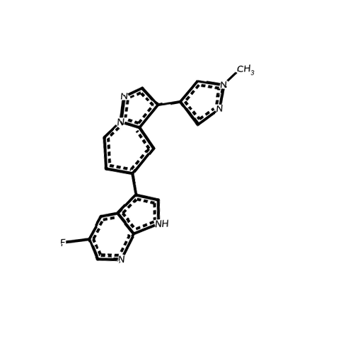 Cn1cc(-c2cnn3ccc(-c4c[nH]c5ncc(F)cc45)cc23)cn1